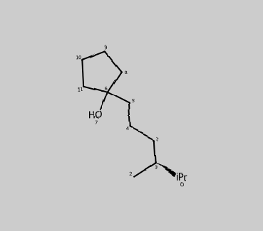 CC(C)[C@@H](C)CCCC1(O)CCCC1